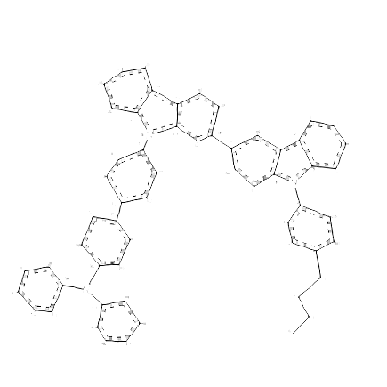 CCCCc1ccc(-n2c3ccccc3c3cc(-c4ccc5c6ccccc6n(-c6ccc(-c7ccc(N(c8ccccc8)c8ccccc8)cc7)cc6)c5c4)ccc32)cc1